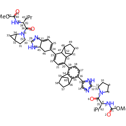 COC(=O)N[C@H](C(=O)N1CCC[C@H]1c1ncc(-c2ccc(C3=CC=C(C4=CC=C5N=C([C@@H]6CC7CC7N6C(=O)[C@@H](NC(=O)OC)C(C)C)NC5C4)C4C5CCC(C5)C34)c3c2C2CCC3C2)[nH]1)C(C)C